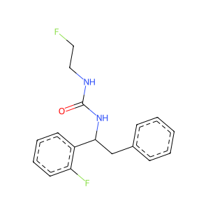 O=C(NCCF)NC(Cc1ccccc1)c1ccccc1F